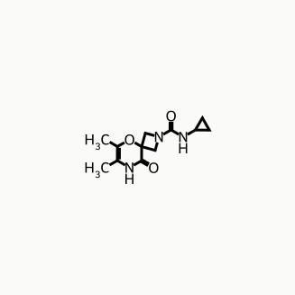 CC1=C(C)OC2(CN(C(=O)NC3CC3)C2)C(=O)N1